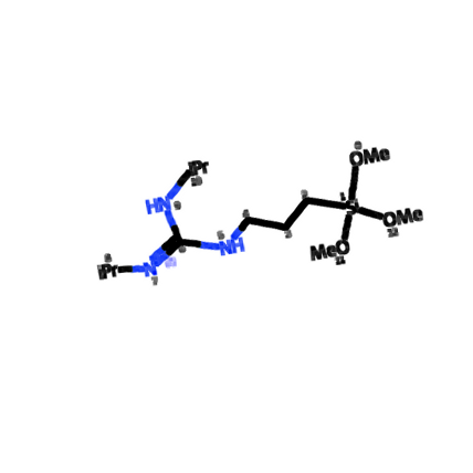 CO[Si](CCCN/C(=N/C(C)C)NC(C)C)(OC)OC